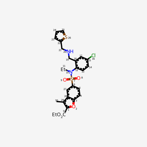 CCOC(=O)c1oc2ccc(S(=O)(=O)N(CC)c3ccc(Cl)cc3CNCc3cccs3)cc2c1C